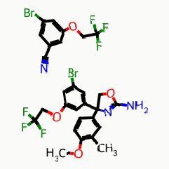 COc1ccc(C2(c3cc(Br)cc(OCC(F)(F)F)c3)COC(N)=N2)cc1C.N#Cc1cc(Br)cc(OCC(F)(F)F)c1